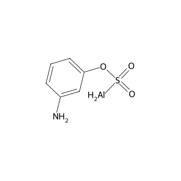 Nc1cccc(O[S](=O)(=O)[AlH2])c1